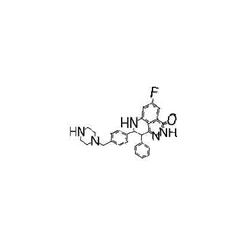 O=c1[nH]nc2c3c(cc(F)cc13)NC(c1ccc(CN3CCNCC3)cc1)C2c1ccccc1